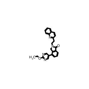 CCOc1ncc(-c2cccc3c2CN(CCc2ccc4ccccc4n2)C3=O)cn1